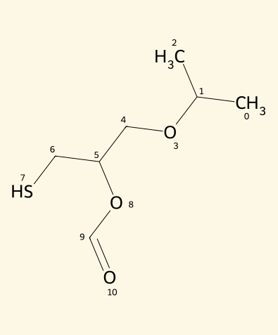 CC(C)OCC(CS)OC=O